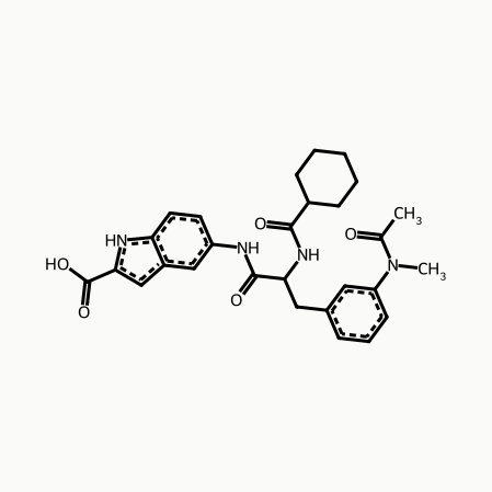 CC(=O)N(C)c1cccc(CC(NC(=O)C2CCCCC2)C(=O)Nc2ccc3[nH]c(C(=O)O)cc3c2)c1